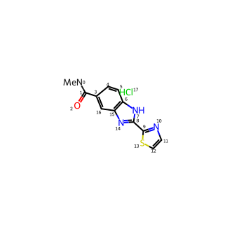 CNC(=O)c1ccc2[nH]c(-c3nccs3)nc2c1.Cl